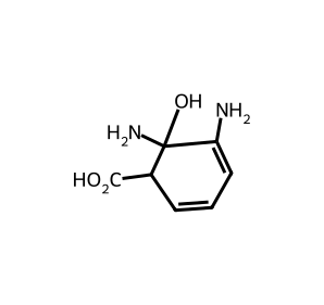 NC1=CC=CC(C(=O)O)C1(N)O